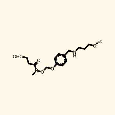 CCOCCCNCc1ccc(OCON(C)C(=O)CCC=O)cc1